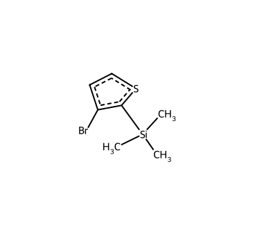 C[Si](C)(C)c1sccc1Br